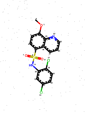 COc1ccc(S(=O)(=O)Nc2cc(Cl)ccc2Cl)c2cccnc12